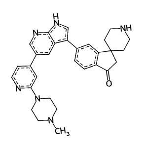 CN1CCN(c2cc(-c3cnc4[nH]cc(-c5ccc6c(c5)C5(CCNCC5)CC6=O)c4c3)ccn2)CC1